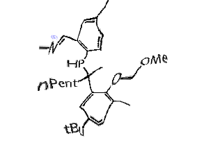 CCCCCC(C)(Pc1ccc(C)cc1/C=N/C)c1cc(C(C)(C)C)cc(C)c1OCOC